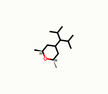 CC(C)C(C(C)C)C1C[C@H](C)O[C@@H](C)C1